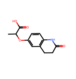 CC(Oc1ccc2c(c1)CCC(=O)N2)C(=O)O